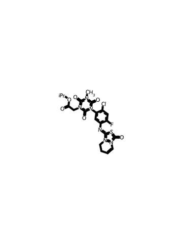 CC(C)OC(=O)Cn1c(=O)n(C)c(=O)n(-c2cc(N=c3sc(=O)n4n3CCC=C4)c(F)cc2Cl)c1=O